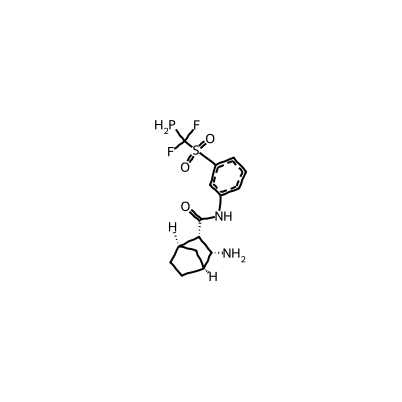 N[C@@H]1[C@H]2CC[C@H](C2)[C@@H]1C(=O)Nc1cccc(S(=O)(=O)C(F)(F)P)c1